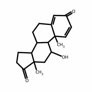 CC12C=CC(=O)C=C1CCC1C2C(O)CC2(C)C(=O)CCC12